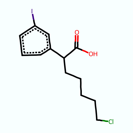 O=C(O)C(CCCCCCl)c1cccc(I)c1